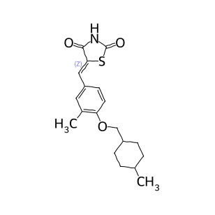 Cc1cc(/C=C2\SC(=O)NC2=O)ccc1OCC1CCC(C)CC1